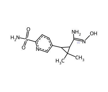 CC1(C)C(/C(N)=N/O)C1c1ccc(S(N)(=O)=O)nc1